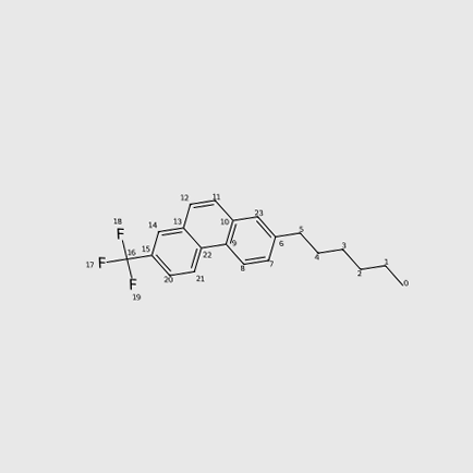 CCCCCCc1ccc2c(ccc3cc(C(F)(F)F)ccc32)c1